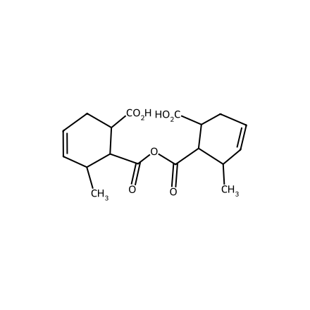 CC1C=CCC(C(=O)O)C1C(=O)OC(=O)C1C(C)C=CCC1C(=O)O